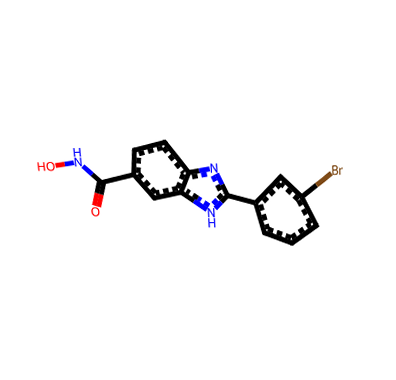 O=C(NO)c1ccc2nc(-c3cccc(Br)c3)[nH]c2c1